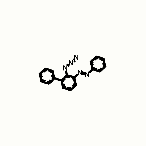 [N-]=[N+]=Nc1c(N=Nc2ccccc2)cccc1-c1ccccc1